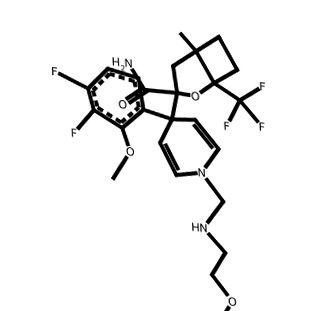 COCCNCN1C=CC(c2ccc(F)c(F)c2OC)(C2(C(N)=O)CC3(C)CCC3(C(F)(F)F)O2)C=C1